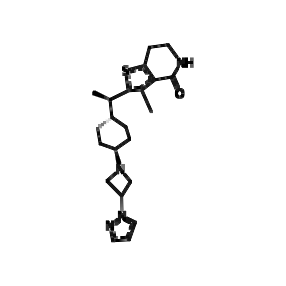 Cc1c([C@H](C)[C@H]2CC[C@H](N3CC(n4cccn4)C3)CC2)sc2c1C(=O)NCC2